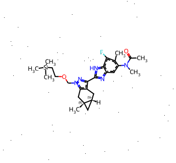 CC(=O)N(C)c1cc2nc(-c3nn(COCC[Si](C)(C)C)c4c3C[C@@H]3C[C@]3(C)C4)[nH]c2c(F)c1C